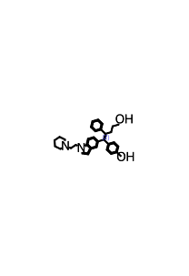 OCCC/C(=C(\c1ccc(O)cc1)c1ccc2c(ccn2CCN2CCCCC2)c1)c1ccccc1